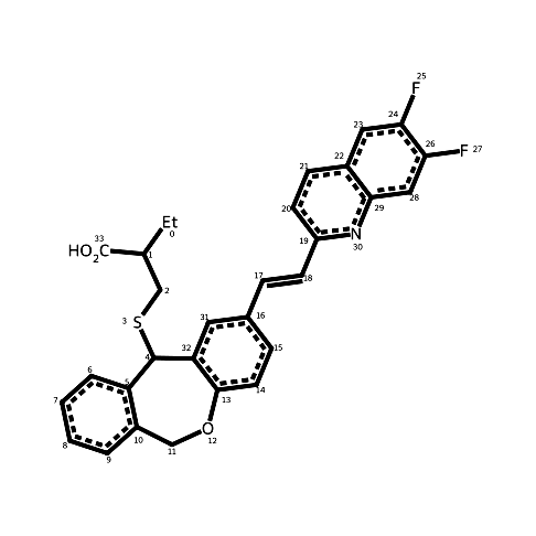 CCC(CSC1c2ccccc2COc2ccc(C=Cc3ccc4cc(F)c(F)cc4n3)cc21)C(=O)O